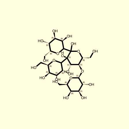 OC[C@H]1O[C@@H](O[C@@H]2[C@@H](CO)OC(O)(C3O[C@H](CO)[C@H](O)[C@@H](O)[C@H]3O)[C@@](O)(C3O[C@H](CO)[C@H](O)[C@@H](O)[C@H]3O)[C@H]2O)[C@H](O)[C@@H](O)[C@H]1O